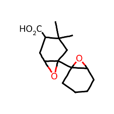 CC1(C)CC2(C34CCCCC3O4)OC2CC1C(=O)O